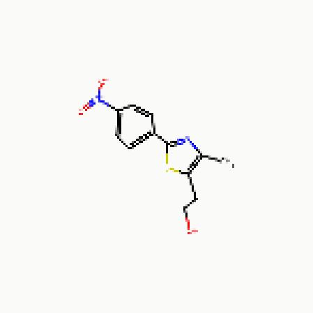 Cc1nc(-c2ccc([N+](=O)[O-])cc2)sc1CCO